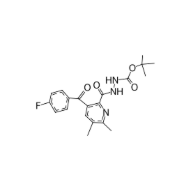 Cc1cc(C(=O)c2ccc(F)cc2)c(C(=O)NNC(=O)OC(C)(C)C)nc1C